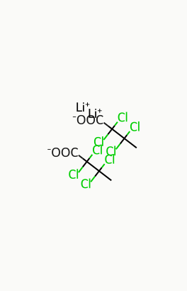 CC(Cl)(Cl)C(Cl)(Cl)C(=O)[O-].CC(Cl)(Cl)C(Cl)(Cl)C(=O)[O-].[Li+].[Li+]